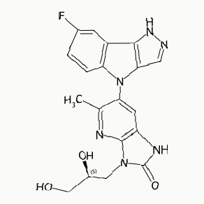 Cc1nc2c(cc1-n1c3ccc(F)cc3c3[nH]ncc31)[nH]c(=O)n2C[C@H](O)CO